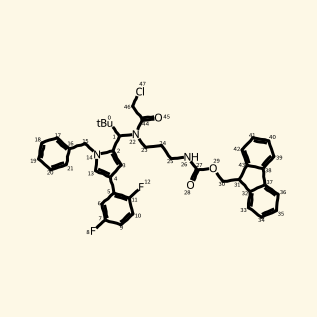 CC(C)(C)C(c1cc(-c2cc(F)ccc2F)cn1Cc1ccccc1)N(CCCNC(=O)OCC1c2ccccc2-c2ccccc21)C(=O)CCl